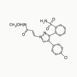 CN(O)C(=O)C=Cn1cc(-c2ccc(Cl)cc2)c(-c2ccccc2S(N)(=O)=O)n1